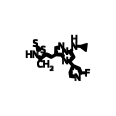 C=c1[nH]c(=S)s/c1=C\c1cnn2c(NC3CC3)cc(-c3ccnc(F)c3)nc12